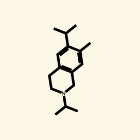 Cc1cc2c(cc1C(C)C)CCN(C(C)C)C2